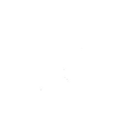 CC1(C)CC(=O)c2c(C(F)(F)F)nn(-c3cc(Br)ccc3C(N)=O)c2C1